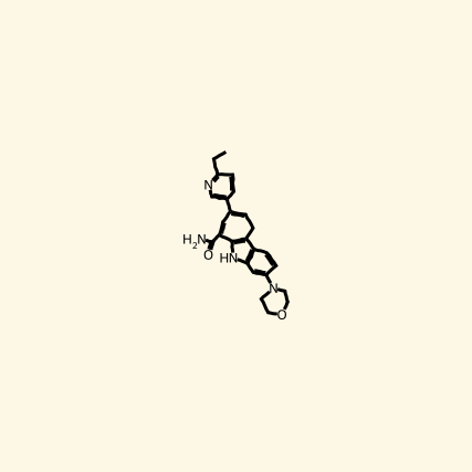 CCc1ccc(C2=CCc3c([nH]c4cc(N5CCOCC5)ccc34)C(C(N)=O)=C2)cn1